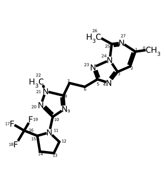 Cc1cc2nc(CCc3nc(N4CCCC4C(F)(F)F)nn3C)nn2c(C)n1